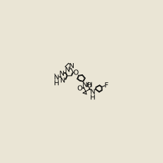 CNc1ncc2c(n1)N1CCN=C1C(Oc1ccc(NC(=O)C3(C(=O)Nc4ccc(F)cc4)CC3)cc1)=C2